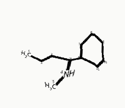 [CH2]CCC(NC)C1CCCCC1